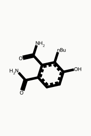 CCCCc1c(O)ccc(C(N)=O)c1C(N)=O